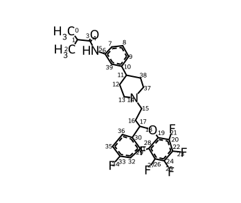 CC(C)C(=O)Nc1cccc(C2CCN(CCC(Oc3c(F)c(F)c(F)c(F)c3F)c3ccc(F)cc3)CC2)c1